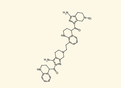 CCN1CCc2c(N)nn(C(=O)C3CCNc4c(CCN5CCc6c(nn(C(=O)C7CCNc8ccccc87)c6N)C5)cccc43)c2C1